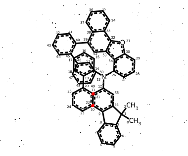 CC1(C)c2ccccc2-c2ccc(N(c3ccccc3-c3ccccc3)c3cccc4oc5c6ccccc6c(-c6ccccc6-c6ccccc6)cc5c34)cc21